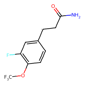 NC(=O)C[CH]c1ccc(OC(F)(F)F)c(F)c1